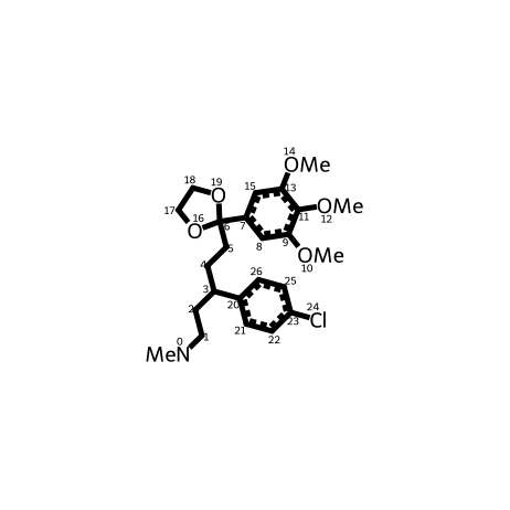 CNCCC(CCC1(c2cc(OC)c(OC)c(OC)c2)OCCO1)c1ccc(Cl)cc1